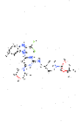 Cc1ccc2nc(C(F)F)n(-c3cc(N4CCOC[C@H]4C)nc(NCC4CCN(C(=O)OC(C)(C)C)CC4)n3)c2c1